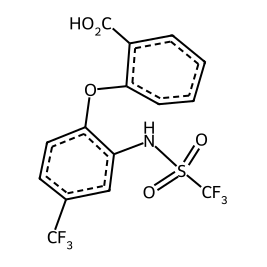 O=C(O)c1ccccc1Oc1ccc(C(F)(F)F)cc1NS(=O)(=O)C(F)(F)F